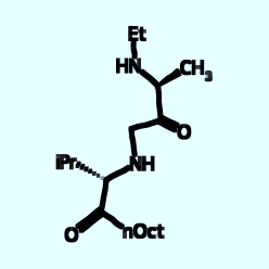 CCCCCCCCC(=O)[C@@H](NCC(=O)[C@H](C)NCC)C(C)C